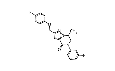 CC1CN(c2cccc(F)c2)C(=O)c2cc(COc3ccc(F)cc3)nn21